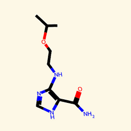 CC(C)OCCNc1nc[nH]c1C(N)=O